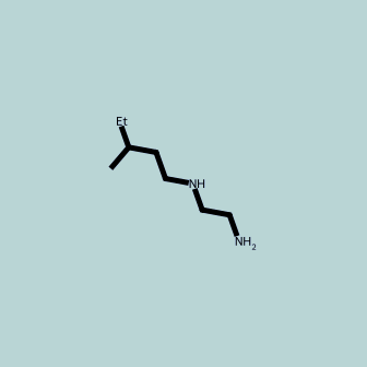 CCC(C)CCNCCN